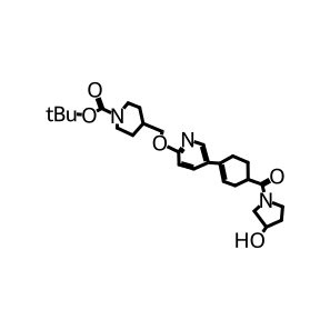 CC(C)(C)OC(=O)N1CCC(COc2ccc(C3=CCC(C(=O)N4CCC(O)C4)CC3)cn2)CC1